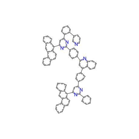 c1ccc(-c2nc(-c3ccc(-c4cc(-c5ccc(-c6nc(-c7ccccc7-c7cccnc7)cc(-c7c8ccccc8cc8c7ccc7ccccc78)n6)cc5)nc5ccccc45)cc3)cc(-c3c4ccccc4cc4c3ccc3ccccc34)n2)cc1